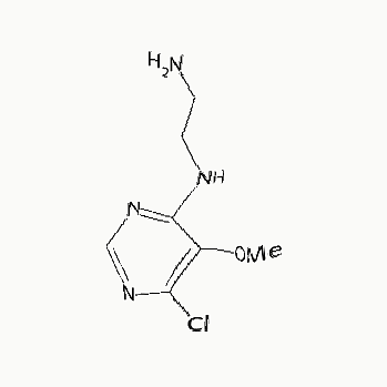 COc1c(Cl)ncnc1NCCN